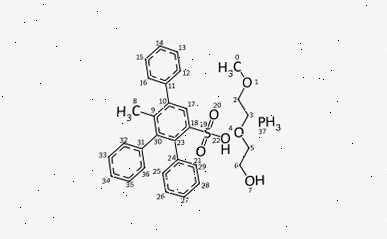 COCCOCCO.Cc1c(-c2ccccc2)cc(S(=O)(=O)O)c(-c2ccccc2)c1-c1ccccc1.P